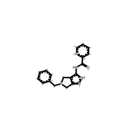 O=C(Nc1[nH]nc2c1CN(Cc1ccccc1)C2)c1ccccn1